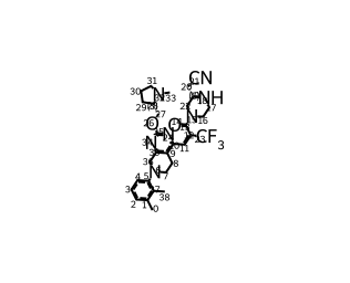 Cc1cccc(N2CCc3c(C=C(C(=O)N4CCN[C@@H](CC#N)C4)C(F)(F)F)nc(OC[C@@H]4CCCN4C)nc3C2)c1C